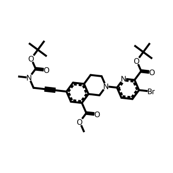 COC(=O)c1cc(C#CCN(C)C(=O)OC(C)(C)C)cc2c1CN(c1ccc(Br)c(C(=O)OC(C)(C)C)n1)CC2